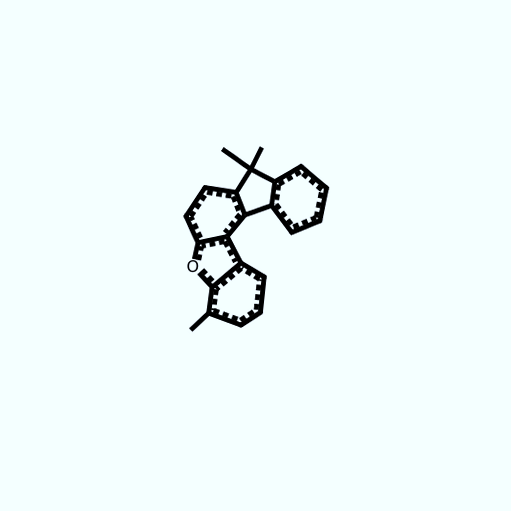 Cc1cccc2c1oc1ccc3c(c12)-c1ccccc1C3(C)C